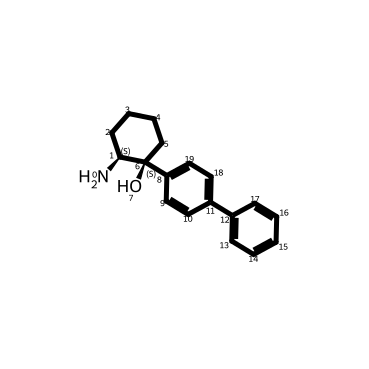 N[C@H]1CCCC[C@]1(O)c1ccc(-c2ccccc2)cc1